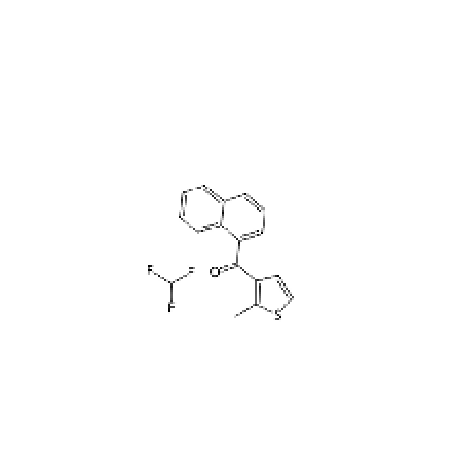 Cc1sccc1C(=O)c1cccc2ccccc12.FC(F)F